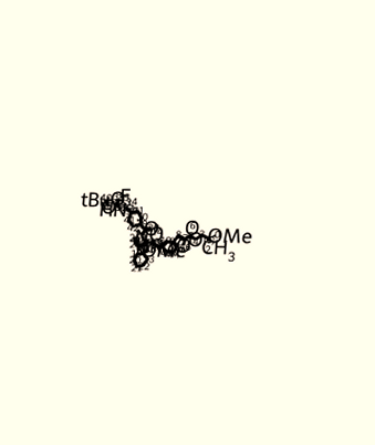 CO[C@@H](C)COC(=O)c1cc2cc(NC(=O)[C@H]3[C@H](C4(OC)CCCCC4)CCN3C(=O)C3CCC([C@@H](CF)NC(=O)OC(C)(C)C)CC3)ccc2o1